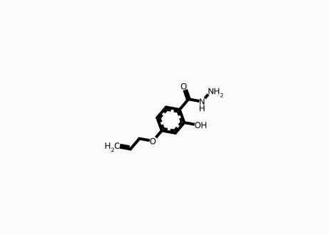 C=CCOc1ccc(C(=O)NN)c(O)c1